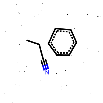 CCC#N.c1ccccc1